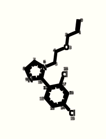 C=CCOCCn1ccnc1-c1ccc(Cl)cc1Cl